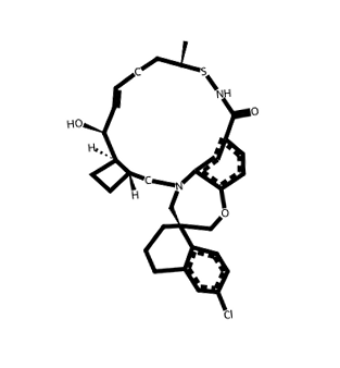 C[C@@H]1CC/C=C/[C@H](O)[C@@H]2CC[C@H]2CN2C[C@@]3(CCCc4cc(Cl)ccc43)COc3ccc(cc32)C(=O)NS1